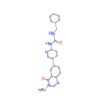 CCCCn1cnc2ccc(-c3ccc(NC(=O)NCc4ccccc4)nc3)cc2c1=O